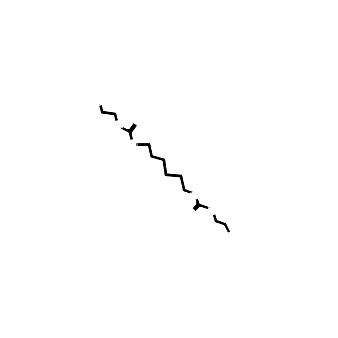 O=C(NCCO)NCCCCCCNC(=O)NCCO